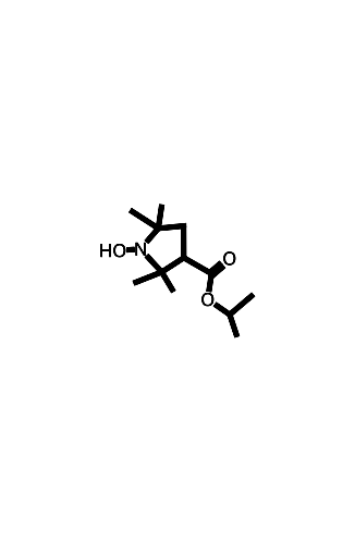 CC(C)OC(=O)C1CC(C)(C)N(O)C1(C)C